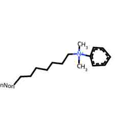 CCCCCCCCCCCCCCCC[N+](C)(C)c1ccccc1